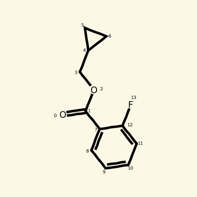 O=C(OCC1CC1)c1ccccc1F